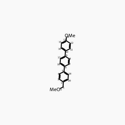 COCc1ccc(-c2ccc(-c3ccc(OC)cc3)cc2)cc1